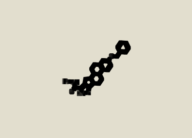 CC(C)NC(=O)c1[nH]nc2c1CC1C2CCC2c3ccc(OCc4ccccc4)cc3CCC21